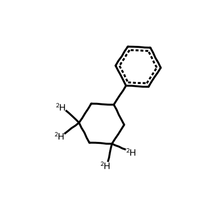 [2H]C1([2H])CC(c2ccccc2)CC([2H])([2H])C1